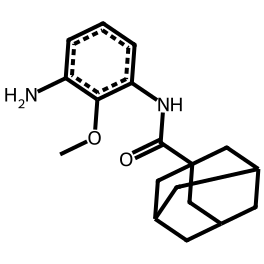 COc1c(N)cccc1NC(=O)C12CC3CC(CC(C3)C1)C2